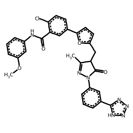 COc1cccc(NC(=O)c2cc(-c3ccc(CC4C(=O)N(c5cccc(-c6nnn[nH]6)c5)N=C4C)o3)ccc2Cl)c1